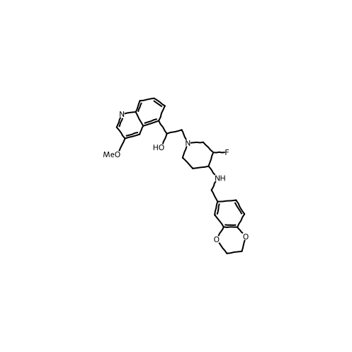 COc1cnc2cccc(C(O)CN3CCC(NCc4ccc5c(c4)OCCO5)C(F)C3)c2c1